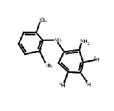 [2H]c1cc(Nc2c(C(C)(C)C)cccc2C(C)(C)C)c(N)c([2H])c1[2H]